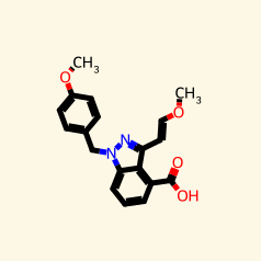 COC=Cc1nn(Cc2ccc(OC)cc2)c2cccc(C(=O)O)c12